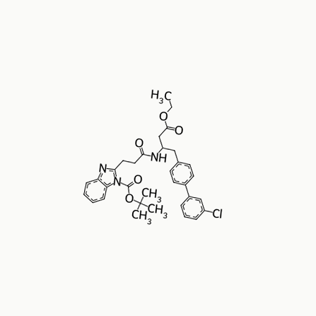 CCOC(=O)CC(Cc1ccc(-c2cccc(Cl)c2)cc1)NC(=O)CCc1nc2ccccc2n1C(=O)OC(C)(C)C